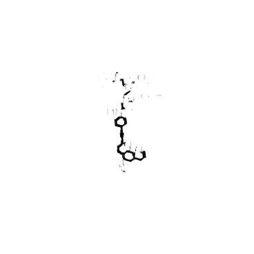 O=C(O)CN(CCN(CC(=O)O)CC(=O)O)CCN(CC(=O)O)CC(=O)Nc1ccc(C#Cc2ccc3c(N=C=S)cc4cccnc4c3n2)cc1